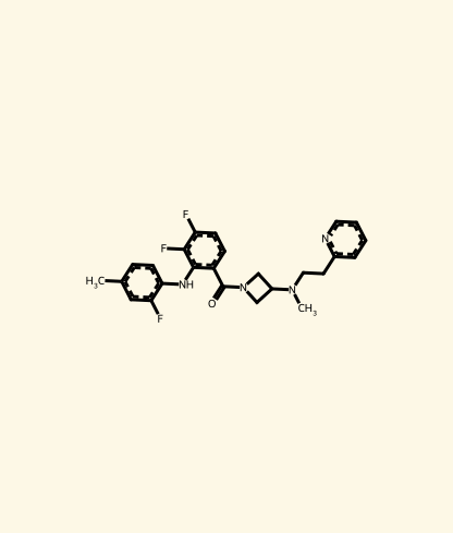 Cc1ccc(Nc2c(C(=O)N3CC(N(C)CCc4ccccn4)C3)ccc(F)c2F)c(F)c1